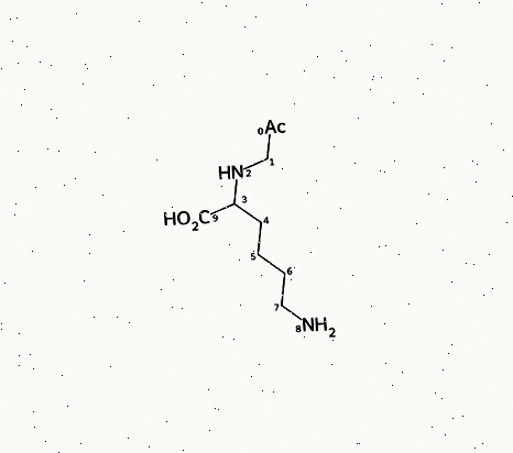 CC(=O)CNC(CCCCN)C(=O)O